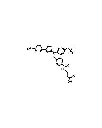 N#Cc1ccc(-c2csc(N(Cc3ccc(C(=O)NCCC(=O)O)cc3)c3ccc(SC(F)(F)F)cc3)n2)cc1